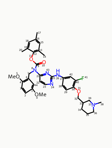 COc1ccc(OC)c(CN(C(=O)Oc2c(C)cc(C)cc2C)c2ccnc(Nc3ccc(OCC4CCCN(C)C4)c(F)c3)n2)c1